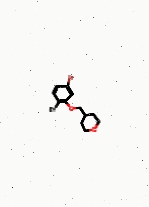 C[CH]c1ccc(Br)cc1OCC1CCOCC1